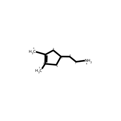 CC1=C(C)CC(CCN)C1